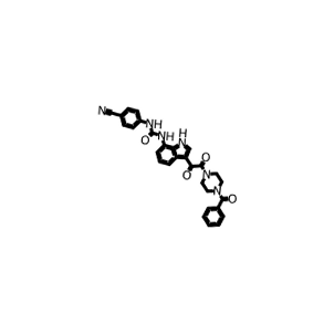 N#Cc1ccc(NC(=O)Nc2cccc3c(C(=O)C(=O)N4CCN(C(=O)c5ccccc5)CC4)c[nH]c23)cc1